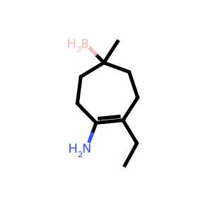 BC1(C)CCC(N)=C(CC)CC1